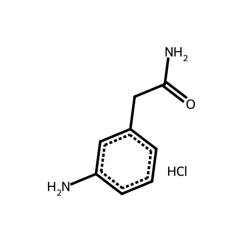 Cl.NC(=O)Cc1cccc(N)c1